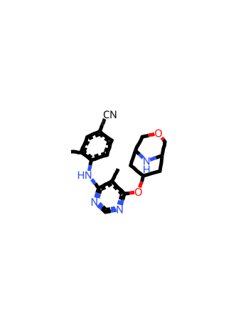 Cc1cc(C#N)ccc1Nc1ncnc(OC2CC3COCC(C2)N3)c1C